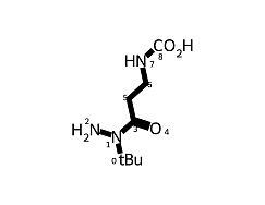 CC(C)(C)N(N)C(=O)CCNC(=O)O